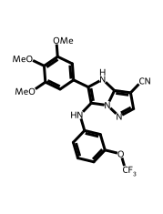 COc1cc(-c2[nH]c3c(C#N)cnn3c2Nc2cccc(OC(F)(F)F)c2)cc(OC)c1OC